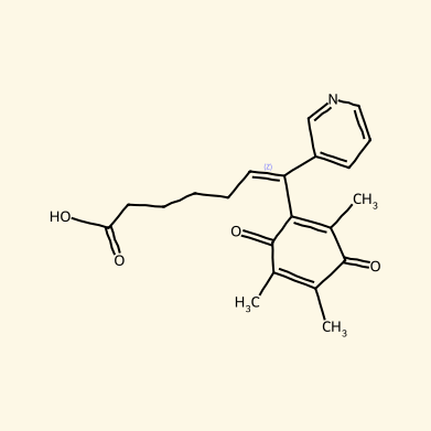 CC1=C(C)C(=O)C(/C(=C\CCCCC(=O)O)c2cccnc2)=C(C)C1=O